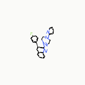 Fc1ccc(-c2cc3ccccc3nc2N2CCN(c3ccccn3)CC2)cc1